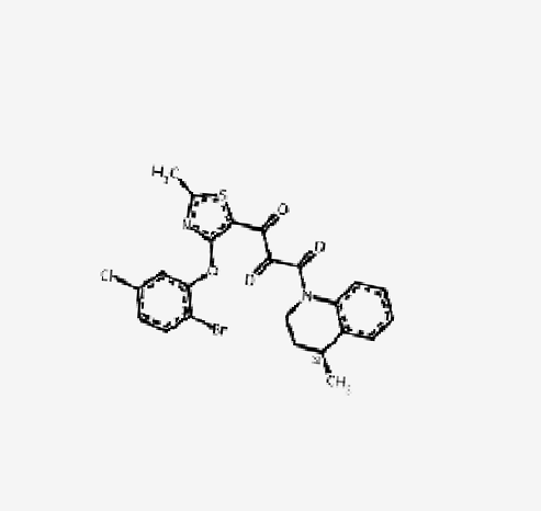 Cc1nc(Oc2cc(Cl)ccc2Br)c(C(=O)C(=O)C(=O)N2CC[C@H](C)c3ccccc32)s1